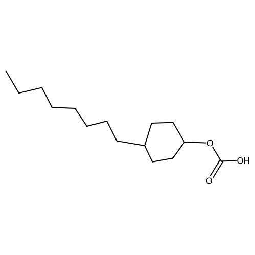 CCCCCCCCC1CCC(OC(=O)O)CC1